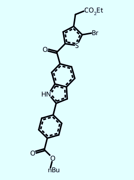 CCCCOC(=O)c1ccc(-c2cc3ccc(C(=O)c4cc(CC(=O)OCC)c(Br)s4)cc3[nH]2)cc1